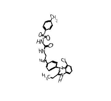 CCC1Nc2cccc(Cl)c2N1c1ccc(CCNC(=O)NS(=O)(=O)c2ccc(C)cc2)cc1.[NaH]